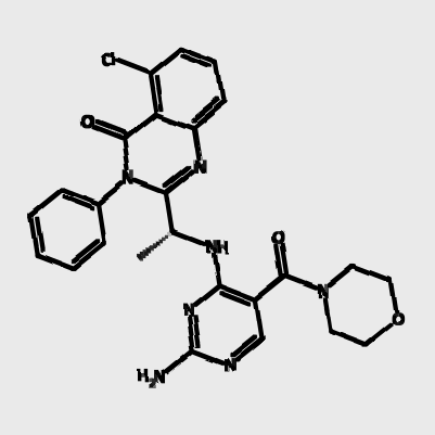 C[C@@H](Nc1nc(N)ncc1C(=O)N1CCOCC1)c1nc2cccc(Cl)c2c(=O)n1-c1ccccc1